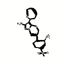 CS(=O)(=O)c1ccc(-c2cnc3c(-c4ccccn4)c(N)nn3c2)c([N+](=O)[O-])c1